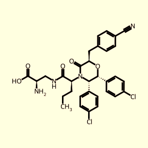 CCC[C@@H](C(=O)NC[C@@H](N)C(=O)O)N1C(=O)[C@@H](Cc2ccc(C#N)cc2)O[C@H](c2ccc(Cl)cc2)[C@@H]1c1ccc(Cl)cc1